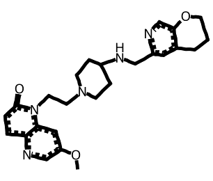 COc1cnc2ccc(=O)n(CCN3CCC(NCc4cc5c(cn4)OCCC5)CC3)c2c1